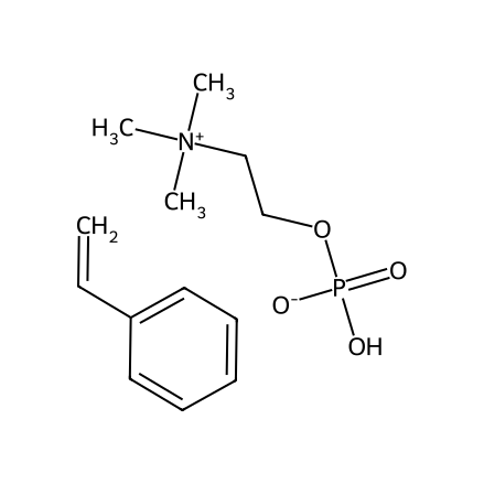 C=Cc1ccccc1.C[N+](C)(C)CCOP(=O)([O-])O